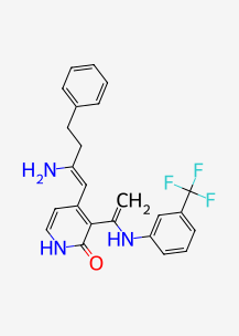 C=C(Nc1cccc(C(F)(F)F)c1)c1c(/C=C(\N)CCc2ccccc2)cc[nH]c1=O